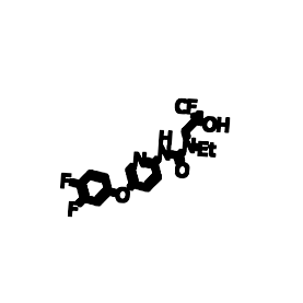 CCN(CC(O)C(F)(F)F)C(=O)Nc1ccc(Oc2ccc(F)c(F)c2)cn1